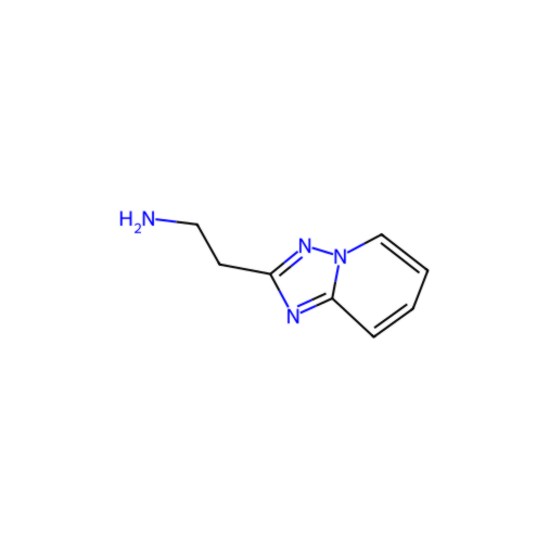 NCCc1nc2ccccn2n1